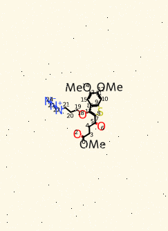 COC(=O)CCC(=O)c1sc2cc(OC)c(OC)cc2c1OCCCN=[N+]=[N-]